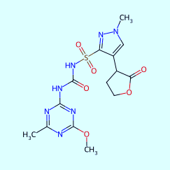 COc1nc(C)nc(NC(=O)NS(=O)(=O)c2nn(C)cc2C2CCOC2=O)n1